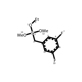 CCO[Si](Cc1cc(F)cc(F)c1)(OC)OC